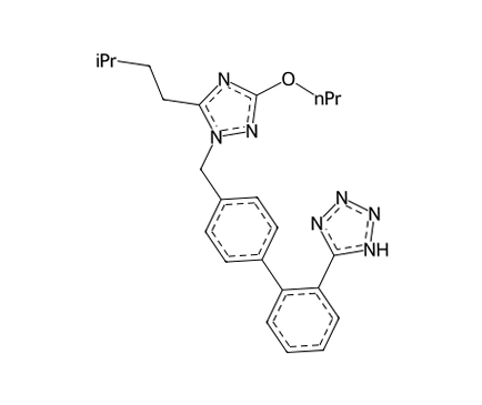 CCCOc1nc(CCC(C)C)n(Cc2ccc(-c3ccccc3-c3nnn[nH]3)cc2)n1